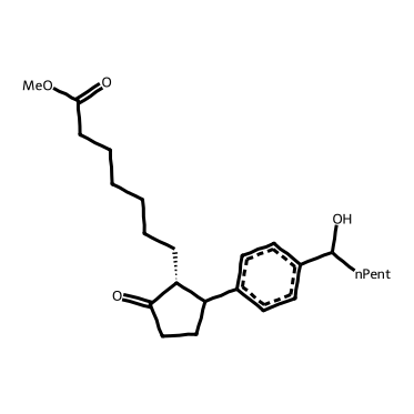 CCCCCC(O)c1ccc(C2CCC(=O)[C@@H]2CCCCCCC(=O)OC)cc1